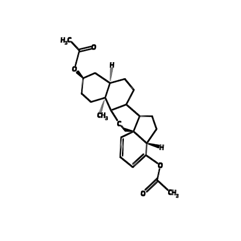 CC(=O)OC1=CC=C[C@]23CCC4C(CC[C@@H]5C[C@H](OC(C)=O)CC[C@]45C)C2CC[C@H]13